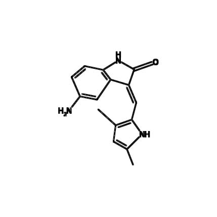 Cc1cc(C)c(C=C2C(=O)Nc3ccc(N)cc32)[nH]1